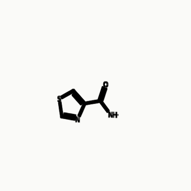 [NH]C(=O)c1cscn1